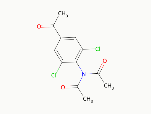 CC(=O)c1cc(Cl)c(N(C(C)=O)C(C)=O)c(Cl)c1